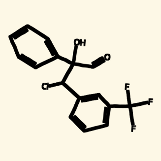 O=CC(O)(c1ccccc1)C(Cl)c1cccc(C(F)(F)F)c1